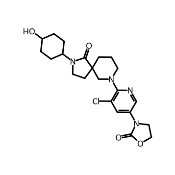 O=C1OCCN1c1cnc(N2CCCC3(CCN(C4CCC(O)CC4)C3=O)C2)c(Cl)c1